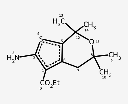 CCOC(=O)c1c(N)sc2c1CC(C)(C)OC2(C)C